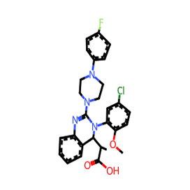 COc1ccc(Cl)cc1N1C(N2CCN(c3ccc(F)cc3)CC2)=Nc2ccccc2C1C(C)C(=O)O